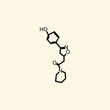 O=C(CC1CC(c2ccc(O)cc2)=NO1)N1CCCCC1